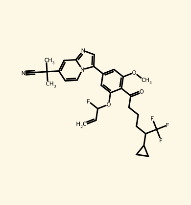 C=CC(F)Oc1cc(-c2cnc3cc(C(C)(C)C#N)ccn23)cc(OC)c1C(=O)CCCC(C1CC1)C(F)(F)F